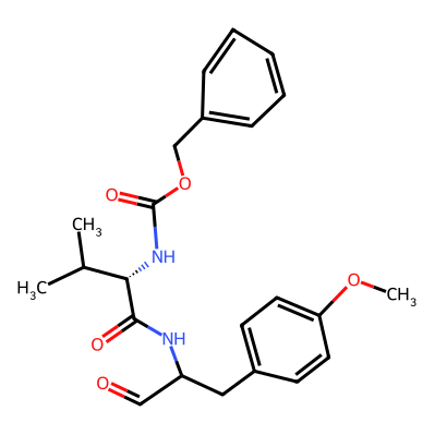 COc1ccc(CC(C=O)NC(=O)[C@@H](NC(=O)OCc2ccccc2)C(C)C)cc1